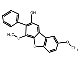 COc1ccc2oc3c(OC)c(-c4ccccc4)c(O)cc3c2c1